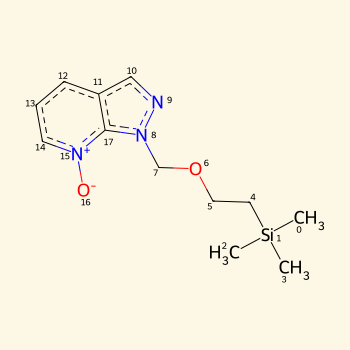 C[Si](C)(C)CCOCn1ncc2ccc[n+]([O-])c21